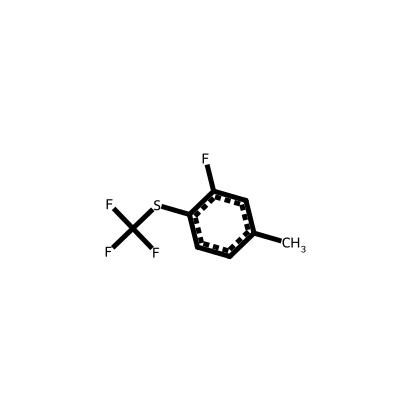 Cc1ccc(SC(F)(F)F)c(F)c1